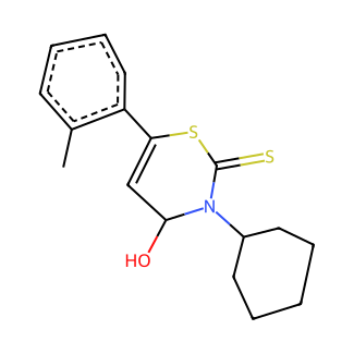 Cc1ccccc1C1=CC(O)N(C2CCCCC2)C(=S)S1